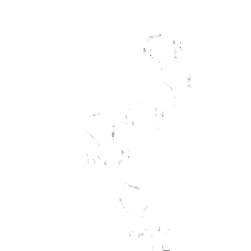 CS(=O)(=O)c1ccc(-c2nc3c(N4CCN(Cc5ccc6nccnc6c5)CC4)cccc3[nH]2)cc1